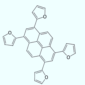 c1coc(-c2cc(-c3ccco3)c3ccc4c(-c5ccco5)cc(-c5ccco5)c5ccc2c3c54)c1